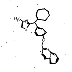 Cc1csc(C(c2ccc(OCc3ccc4ccccc4n3)cc2)C2CCCCCC2)n1